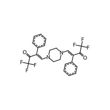 O=C(/C(=C/N1CCN(/C=C(/C(=O)C(F)(F)F)c2ccccc2)CC1)c1ccccc1)C(F)(F)F